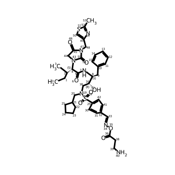 CCC(C)[C@@H](C(=O)N[C@@H](Cc1ccccc1)[C@H](O)CN(CC1CCCC1)S(=O)(=O)c1ccc(C=NOC(=O)CCN)cc1)N1CC(=O)N(Cc2csc(C)n2)C1=O